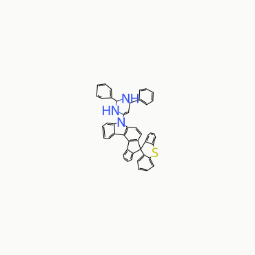 C1=C(n2c3ccccc3c3c4c(ccc32)C2(c3ccccc3Sc3ccccc32)c2ccccc2-4)NC(c2ccccc2)NC1c1ccccc1